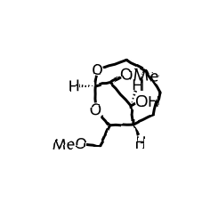 COCC1O[C@H]2OCCCC[C@H]1[C@H](O)C2OC